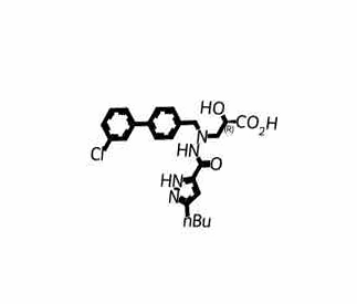 CCCCc1cc(C(=O)NN(Cc2ccc(-c3cccc(Cl)c3)cc2)C[C@@H](O)C(=O)O)[nH]n1